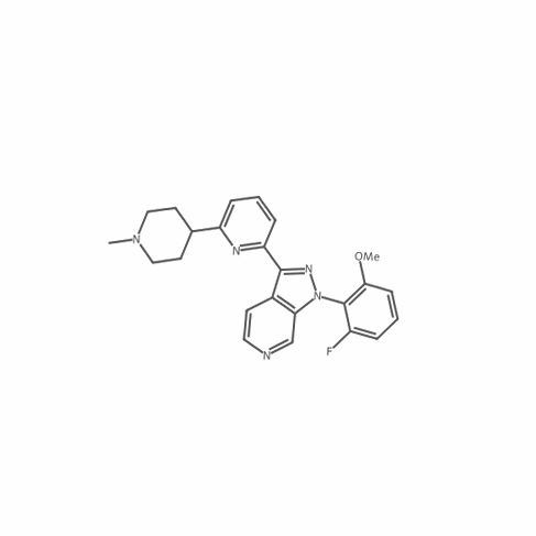 COc1cccc(F)c1-n1nc(-c2cccc(C3CCN(C)CC3)n2)c2ccncc21